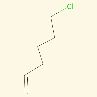 [CH]=CCCCCCl